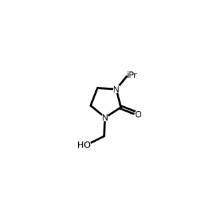 CC(C)N1CCN(CO)C1=O